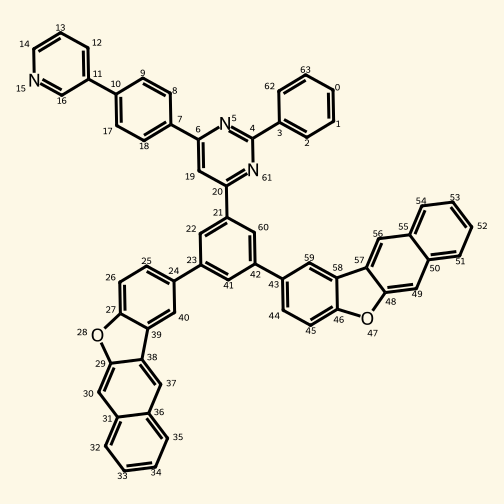 c1ccc(-c2nc(-c3ccc(-c4cccnc4)cc3)cc(-c3cc(-c4ccc5oc6cc7ccccc7cc6c5c4)cc(-c4ccc5oc6cc7ccccc7cc6c5c4)c3)n2)cc1